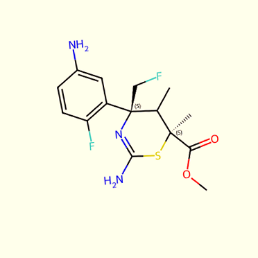 COC(=O)[C@@]1(C)SC(N)=N[C@](CF)(c2cc(N)ccc2F)C1C